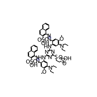 CCN(CC)c1cc(Nc2nc(Nc3cc(N(CC)CC)c(OC)cc3/N=N/c3c(S(=O)(=O)O)ccc4ccccc34)nc(SCCS(=O)(=O)O)n2)c(/N=N/c2c(S(=O)(=O)O)ccc3ccccc23)cc1OC